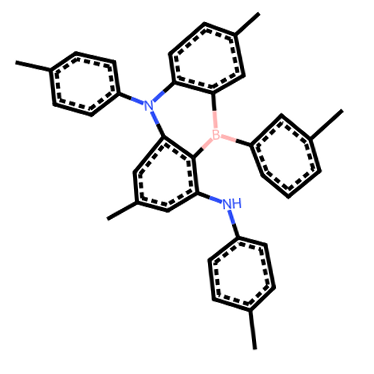 Cc1ccc(Nc2cc(C)cc3c2B(c2cccc(C)c2)c2cc(C)ccc2N3c2ccc(C)cc2)cc1